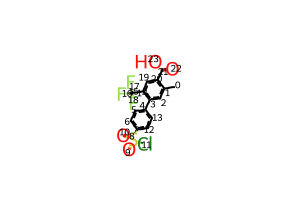 Cc1cc(-c2ccc(S(=O)(=O)Cl)cc2)c(C(F)(F)F)cc1C(=O)O